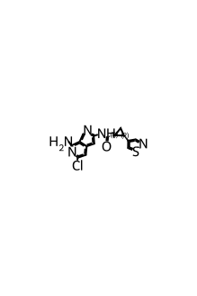 Nc1nc(Cl)cc2cc(NC(=O)[C@@H]3C[C@H]3c3cnsc3)ncc12